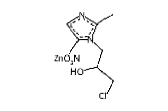 Cc1ncc([N+](=O)[O-])n1CC(O)CCl.[Zn]